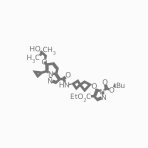 CCOC(=O)c1cnn(C(=O)OC(C)(C)C)c1O[C@H]1CC2(C[C@H](NC(=O)c3cnn4c(C5CC5)c(OCC(C)(C)O)ccc34)C2)C1